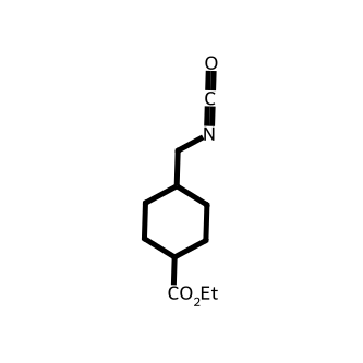 CCOC(=O)C1CCC(CN=C=O)CC1